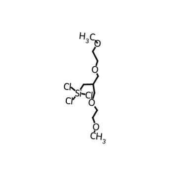 COCCOCC(COCCOC)C[Si](Cl)(Cl)Cl